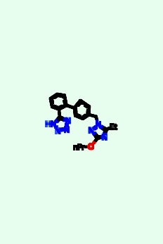 CCCOc1nc(CC)n(Cc2ccc(-c3ccccc3-c3nnn[nH]3)cc2)n1